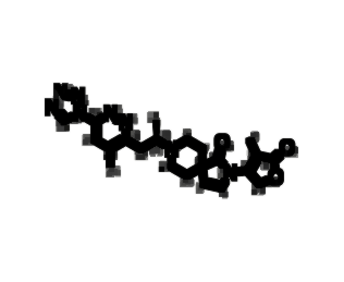 CC1=C(N2C=CC3(CCN([C@H](C)Cc4nnc(-n5cnnn5)cc4C)CC3)C2=O)COC1=O